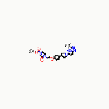 CC(C)(C)OC(=O)N1CCN(CCOc2ccc(C3CCN(c4ccc5nnc(C(F)(F)F)n5n4)CC3)cc2)C(=O)C1